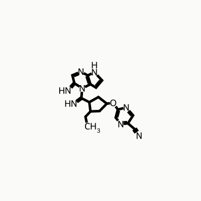 CCC1CC(Oc2cnc(C#N)cn2)CC1C(=N)n1c(=N)cnc2[nH]ccc21